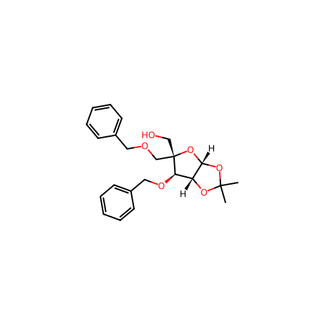 CC1(C)O[C@H]2O[C@@](CO)(COCc3ccccc3)[C@H](OCc3ccccc3)[C@H]2O1